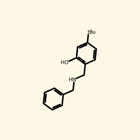 CC(C)(C)c1ccc(CNCc2ccccc2)c(O)c1